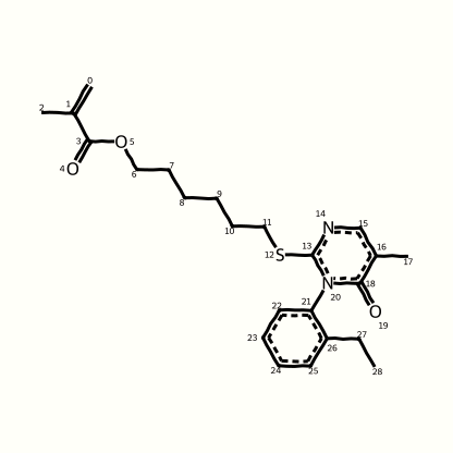 C=C(C)C(=O)OCCCCCCSc1ncc(C)c(=O)n1-c1ccccc1CC